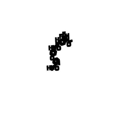 CNC(=O)c1cc(Oc2ccc(NC(=O)Nc3ccc(NC(C)=O)c(C(F)(F)F)c3)cc2)ccn1